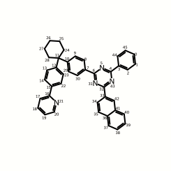 c1ccc(-c2nc(-c3ccc(C4(c5ccc(-c6ccccn6)cc5)CCCCC4)cc3)nc(-c3ccc4ccccc4c3)n2)cc1